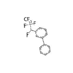 FC(c1cccc(-c2ccccc2)c1)C(F)(F)C(F)(F)F